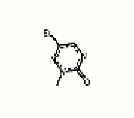 CCc1cnc(=O)n(C)n1